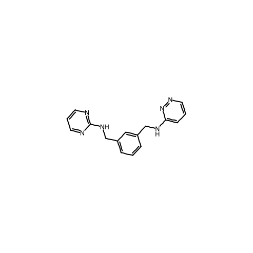 c1cnc(NCc2cccc(CNc3cccnn3)c2)nc1